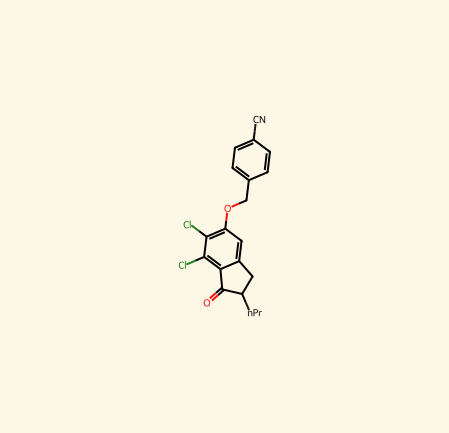 CCCC1Cc2cc(OCc3ccc(C#N)cc3)c(Cl)c(Cl)c2C1=O